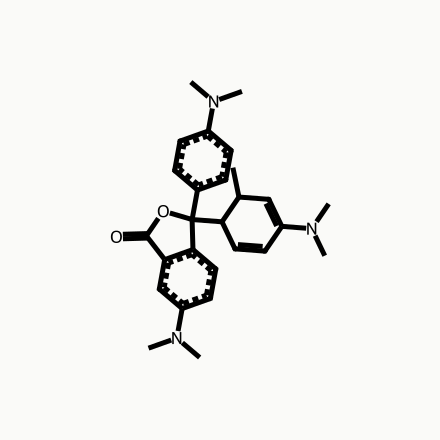 CC1C=C(N(C)C)C=CC1C1(c2ccc(N(C)C)cc2)OC(=O)c2cc(N(C)C)ccc21